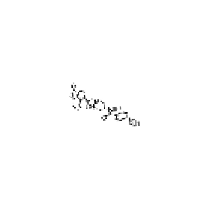 Cc1c([C@@H](O)CN2CCC(NC(=O)c3ccc(-n4cncn4)cc3)CC2)ccc2c1COC2=O